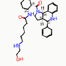 O=C(CCCCCNCCO)N[C@@H]1CCCC[C@@H]1C(=O)N1CC[C@@H]2[C@H](C3C=CC=CC3)Nc3ccccc3[C@@H]21